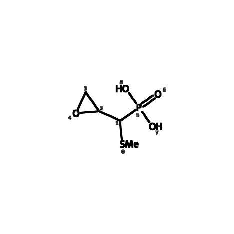 CSC(C1CO1)P(=O)(O)O